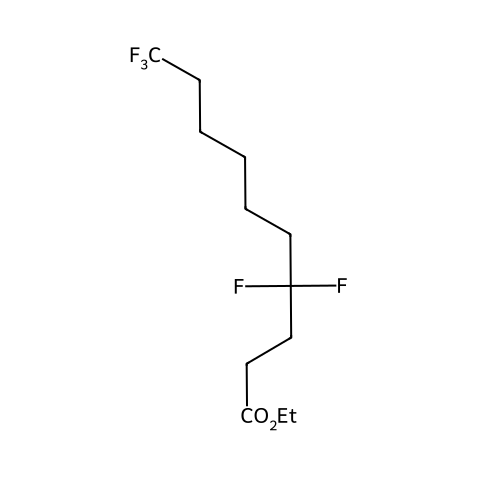 CCOC(=O)CCC(F)(F)CCCCCC(F)(F)F